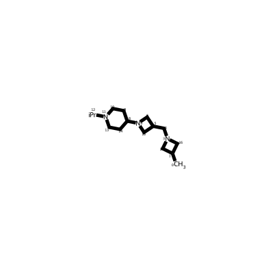 CC1CN(CC2CN(C3CCN(C(C)C)CC3)C2)C1